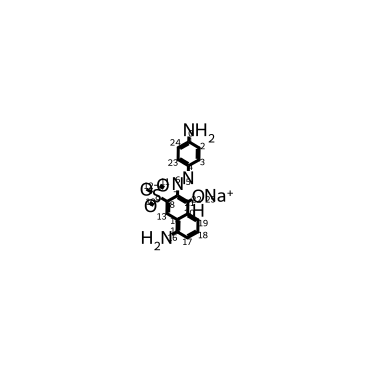 Nc1ccc(N=Nc2c(S(=O)(=O)[O-])cc3c(N)cccc3c2O)cc1.[Na+]